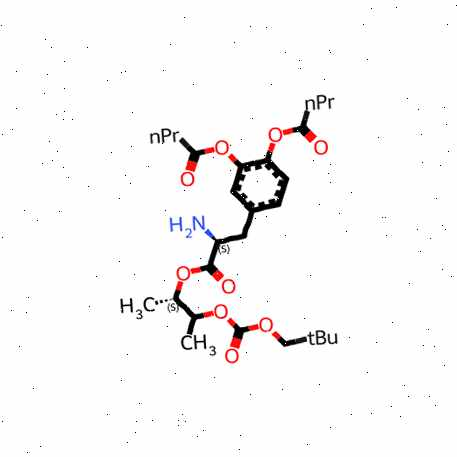 CCCC(=O)Oc1ccc(C[C@H](N)C(=O)O[C@@H](C)C(C)OC(=O)OCC(C)(C)C)cc1OC(=O)CCC